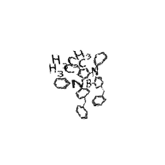 CC(C)(C)c1cc2c3c(c1)N(c1ccccc1)c1ccc(Cc4ccccc4)cc1B3c1cc(Cc3ccccc3)ccc1N2c1ccccc1